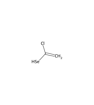 C=C(Cl)[SeH]